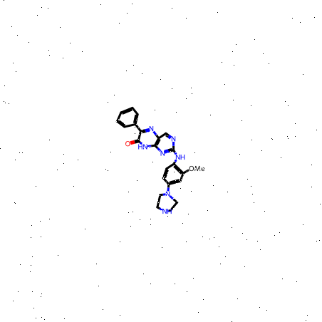 COc1cc(N2CCNCC2)ccc1Nc1ncc2nc(-c3ccccc3)c(=O)[nH]c2n1